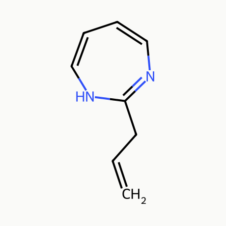 C=CCC1=NC=CC=CN1